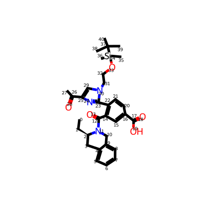 CC[C@@H]1Cc2ccccc2CN1C(=O)c1cc(C(=O)O)ccc1-c1nc(C(C)=O)cn1CCO[Si](C)(C)C(C)(C)C